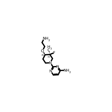 C[C@]1(F)CN(c2nccc(N)n2)CC[C@H]1OCCN